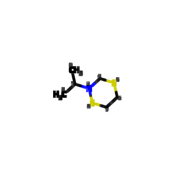 CC(C)N1CSCCS1